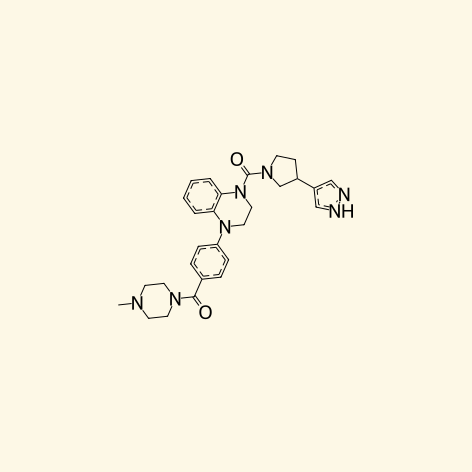 CN1CCN(C(=O)c2ccc(N3CCN(C(=O)N4CCC(c5cn[nH]c5)C4)c4ccccc43)cc2)CC1